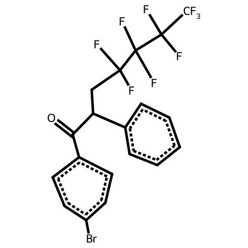 O=C(c1ccc(Br)cc1)C(CC(F)(F)C(F)(F)C(F)(F)C(F)(F)F)c1ccccc1